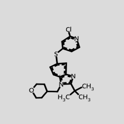 CC(C)(C)c1nc2cc(Sc3ccnc(Cl)c3)ccc2n1CC1CCOCC1